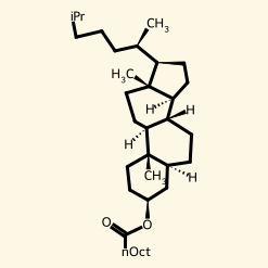 CCCCCCCCC(=O)O[C@H]1CC[C@@]2(C)[C@@H](CC[C@@H]3[C@@H]2CC[C@]2(C)[C@@H]([C@H](C)CCCC(C)C)CC[C@@H]32)C1